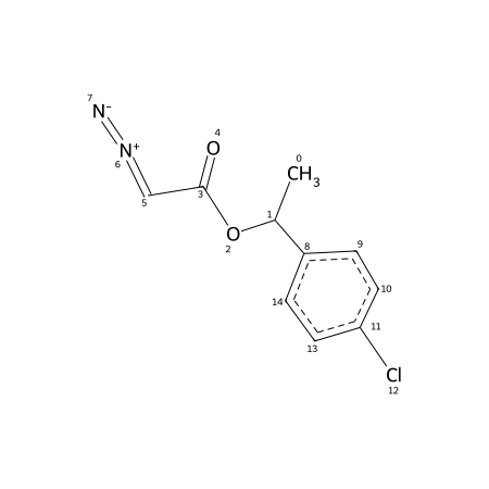 CC(OC(=O)C=[N+]=[N-])c1ccc(Cl)cc1